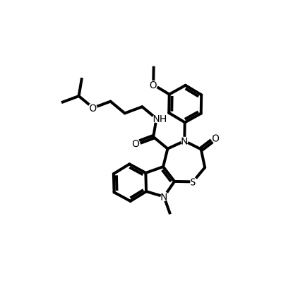 COc1cccc(N2C(=O)CSc3c(c4ccccc4n3C)C2C(=O)NCCCOC(C)C)c1